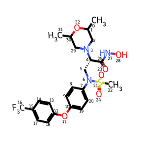 CC1CN([C@@H](CN(c2ccc(Oc3ccc(C(F)(F)F)cc3)cc2)S(C)(=O)=O)C(=O)NO)CC(C)O1